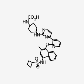 Cc1cc(NS(=O)(=O)C2CCC2)c2ccccc2c1Oc1ncccc1-c1ccnc(NC2CCC(NC(=O)O)CC2)n1